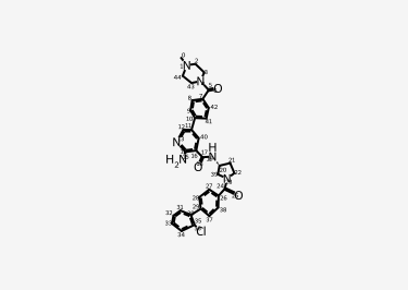 CN1CCN(C(=O)c2ccc(-c3cnc(N)c(C(=O)N[C@@H]4CCN(C(=O)c5ccc(-c6ccccc6Cl)cc5)C4)c3)cc2)CC1